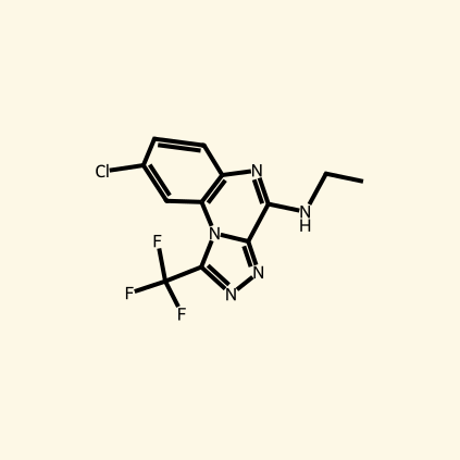 CCNc1nc2ccc(Cl)cc2n2c(C(F)(F)F)nnc12